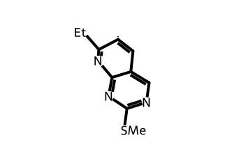 CCc1[c]cc2cnc(SC)nc2n1